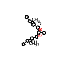 CC1(C)C2=CC(c3ccc4oc5c(-c6ccccc6)c6oc7ccc(-c8ccc9c(c8)C(C)(C)c8cc(-c%10ccccc%10)ccc8-9)cc7c6cc5c4c3)CC=C2c2ccc(-c3ccccc3)cc21